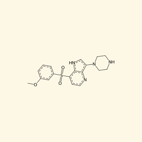 COc1cccc(S(=O)(=O)c2ccnc3c(N4CCNCC4)c[nH]c23)c1